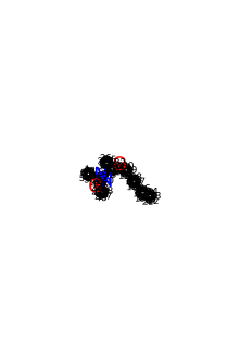 c1ccc(-c2nc(-c3cc4c5cc(-c6ccc(-c7ccc8ccccc8c7)cc6)ccc5oc4c4ccccc34)nc3c2oc2ccccc23)cc1